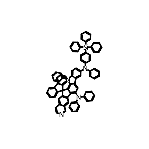 c1ccc(N(c2ccc([Si](c3ccccc3)(c3ccccc3)c3ccccc3)cc2)c2ccc3c(c2)c2cc(N(c4ccccc4)c4ccccc4)c4c(c2n3-c2ccccc2)C2(c3ccccc3-c3ccccc32)c2cc3ccncc3cc2-4)cc1